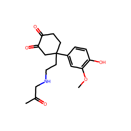 COc1cc(C2(CCNCC(C)=O)CCC(=O)C(=O)C2)ccc1O